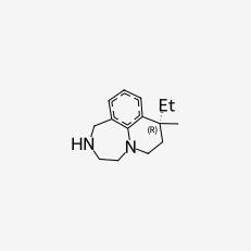 CC[C@]1(C)CCN2CCNCc3cccc1c32